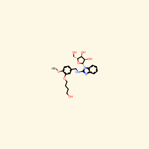 CCCCOc1ccc(CNc2nc3ccccc3n2[C@@H]2O[C@H](CO)[C@@H](O)[C@H]2O)cc1OCCCCO